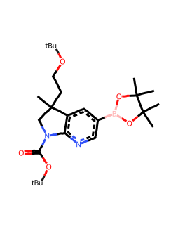 CC(C)(C)OCCC1(C)CN(C(=O)OC(C)(C)C)c2ncc(B3OC(C)(C)C(C)(C)O3)cc21